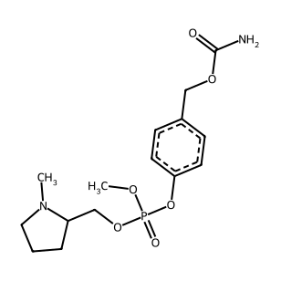 COP(=O)(OCC1CCCN1C)Oc1ccc(COC(N)=O)cc1